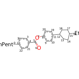 CCCCCc1ccc(C(=O)Oc2ccc(C3CCC(CC)CC3)cc2)cc1